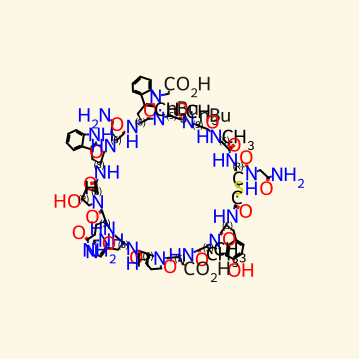 CCCC[C@H]1C(=O)N(C)[C@@H](CCCC)C(=O)N[C@@H](C)C(=O)N[C@H](C(=O)NCC(N)=O)CSCC(=O)N[C@@H](Cc2ccc(O)cc2)C(=O)N(C)[C@@H](C)C(=O)N[C@@H](CC(=O)O)C(=O)N2CCC[C@H]2C(=O)N[C@@H](Cc2cnc[nH]2)C(=O)N[C@@H](CCC(N)=O)C(=O)N2C[C@H](O)C[C@H]2C(=O)N[C@@H](Cc2c[nH]c3ccccc23)C(=O)N[C@@H](CCN)C(=O)N[C@@H](Cc2cn(CC(=O)O)c3ccccc23)C(=O)N1C